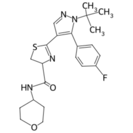 CC(C)(C)n1ncc(C2=NC(C(=O)NC3CCOCC3)CS2)c1-c1ccc(F)cc1